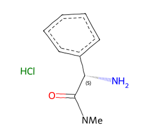 CNC(=O)[C@@H](N)c1ccccc1.Cl